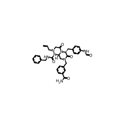 C=CCN1CC(=O)N2[C@@H](Cc3ccc(NC=O)cc3)C(=O)N(Cc3cccc(C(N)=O)c3)C[C@@H]2N1C(=O)NCc1ccccc1